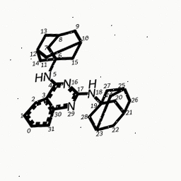 c1ccc2c(NC34CC5CC(CC(C5)C3)C4)nc(NC34CC5CC(CC(C5)C3)C4)nc2c1